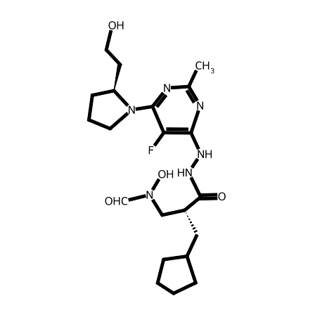 Cc1nc(NNC(=O)[C@H](CC2CCCC2)CN(O)C=O)c(F)c(N2CCC[C@H]2CCO)n1